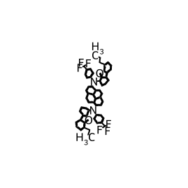 CCCc1cccc2c1oc1c(N(c3ccc(C(F)(F)F)cc3)c3ccc4ccc5c(N(c6ccc(C(F)(F)F)cc6)c6cccc7c6oc6c(CCC)cccc67)ccc6ccc3c4c65)cccc12